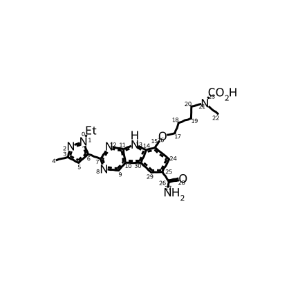 CCn1nc(C)cc1-c1ncc2c(n1)[nH]c1c(OCCCCN(C)C(=O)O)cc(C(N)=O)cc12